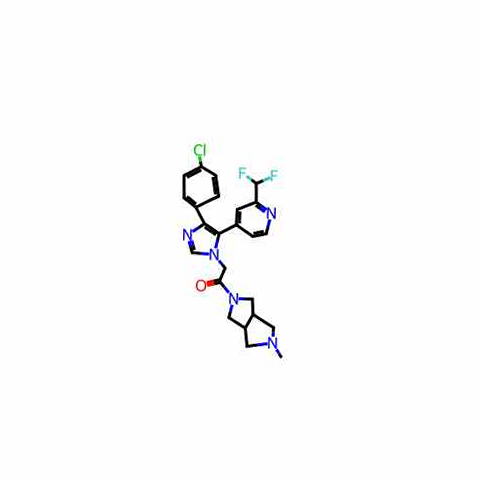 CN1CC2CN(C(=O)Cn3cnc(-c4ccc(Cl)cc4)c3-c3ccnc(C(F)F)c3)CC2C1